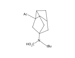 CC(=O)C12CC3CC1CC(N(C(=O)O)C(C)(C)C)(C3)C2